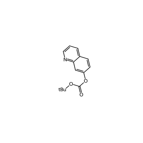 CC(C)(C)OC(=O)Oc1ccc2cccnc2c1